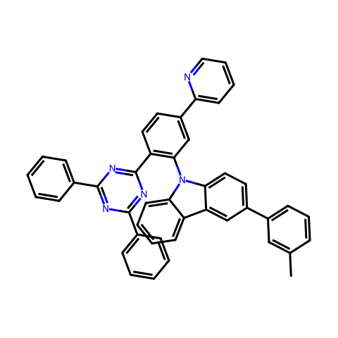 Cc1cccc(-c2ccc3c(c2)c2ccccc2n3-c2cc(-c3ccccn3)ccc2-c2nc(-c3ccccc3)nc(-c3ccccc3)n2)c1